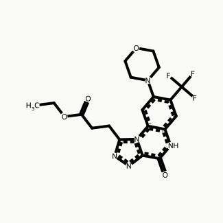 CCOC(=O)CCc1nnc2c(=O)[nH]c3cc(C(F)(F)F)c(N4CCOCC4)cc3n12